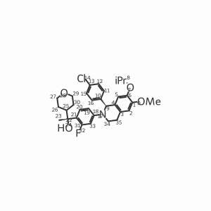 COc1cc2c(cc1OC(C)C)[C@H](c1ccc(Cl)cc1)N(c1ccc([C@](C)(O)C3CCOCC3)c(F)c1)CC2